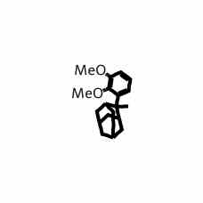 COc1cccc(C2(C)C3CC4CC(C3)CC2C4)c1OC